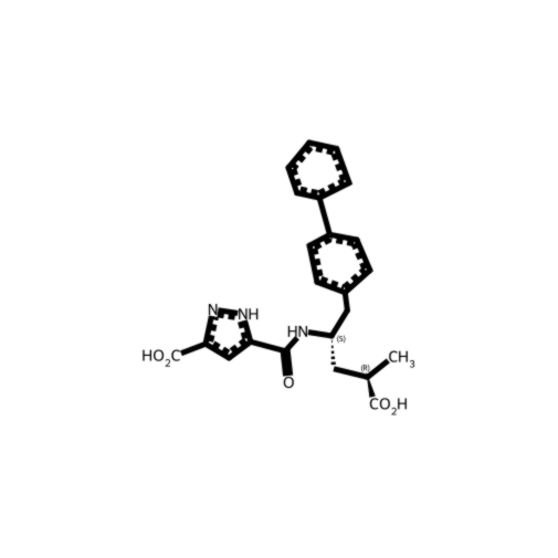 C[C@H](C[C@@H](Cc1ccc(-c2ccccc2)cc1)NC(=O)c1cc(C(=O)O)n[nH]1)C(=O)O